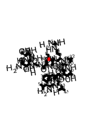 CC[C@H](C)C(NC(=O)[C@@H](CCCNC(=N)N)NC(=O)[C@H](CC(C)C)NC(=O)[C@@H](NC(=O)C(Cc1ccccc1)NC(=O)[C@H](CC(C)C)NC(=O)[C@H](N)CC(C)C)[C@H](O)C(C)C)C(=O)N[C@H](C(=O)NCC(=O)N[C@H](C(=O)N[C@@H](CO)C(=O)O)[C@H](O)C(N)=O)[C@H](C)O